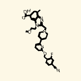 COCCn1c(CN2CCC(c3cccc(OCc4ccc(C#N)cc4F)n3)CC2)nc2c(C)cc(C(=O)O)cc21